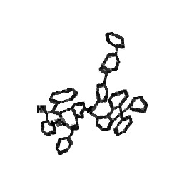 N=C(/C(=C1\NC(c2ccccc2)=Cc2cc(N(c3ccc(-c4ccc(-c5ccccc5)cc4)cc3)c3cccc4c3-c3ccccc3C4(c3ccccc3)c3ccccc3)ccc21)c1ccccc1)c1ccccc1